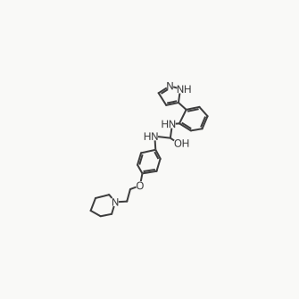 OC(Nc1ccc(OCCN2CCCCC2)cc1)Nc1ccccc1-c1ccn[nH]1